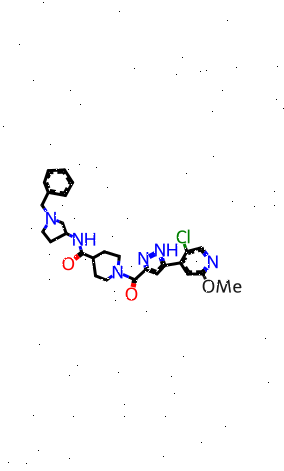 COc1cc(-c2cc(C(=O)N3CCC(C(=O)NC4CCN(Cc5ccccc5)C4)CC3)n[nH]2)c(Cl)cn1